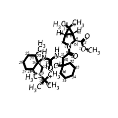 COC(=O)[C@@H]1[C@@H]2[C@H](CN1C(=O)[C@@H](NC(=O)N[C@@]1(CSC(C)(C)C)[C@H](C)CCC[C@@H]1C)C1(C)CCCCC1)C2(C)C